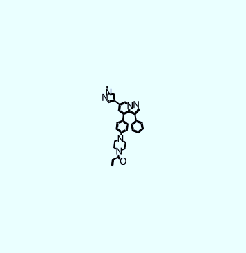 C=CC(=O)N1CCN(c2ccc(-c3cc(-c4cnn(C)c4)cn4ncc(-c5ccccc5)c34)cc2)CC1